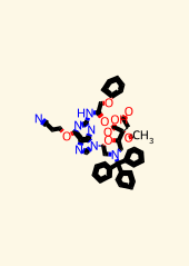 CO[C@](CC=O)(C(=O)O)C1CN(C(c2ccccc2)(c2ccccc2)c2ccccc2)C[C@H](n2cnc3c(OCCC#N)nc(NC(=O)COc4ccccc4)nc32)O1